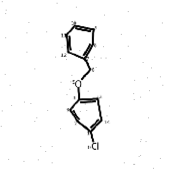 Clc1ccc(OCc2ccccc2)cc1